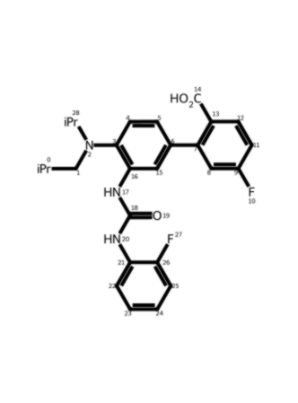 CC(C)CN(c1ccc(-c2cc(F)ccc2C(=O)O)cc1NC(=O)Nc1ccccc1F)C(C)C